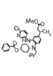 COC(=O)C[C@@H](C)c1ccc(N(CC(C)C)[C@H]2CC[C@@H](OC(=O)c3ccccc3)CC2)c(Nc2ccc(Cl)nc2)c1